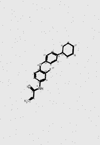 C=CC(=O)Nc1ccc(Oc2ccc(C3CCCCC3)cc2)c(F)c1